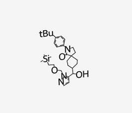 CC(C)(C)c1ccc(N2CCC3(CCC(C(O)c4ccnn4COCC[Si](C)(C)C)CC3)C2=O)cc1